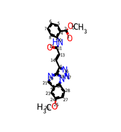 COC(=O)c1ccccc1NC(=O)/C=C/c1nnn2c1ncc1cc(OC)ccc12